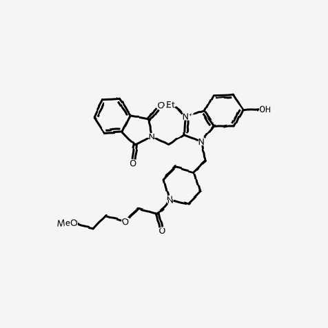 CC[n+]1c(CN2C(=O)c3ccccc3C2=O)n(CC2CCN(C(=O)COCCOC)CC2)c2cc(O)ccc21